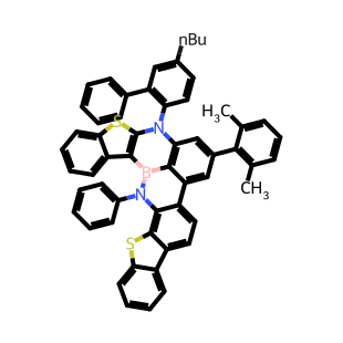 CCCCc1ccc(N2c3cc(-c4c(C)cccc4C)cc4c3B(c3c2sc2ccccc32)N(c2ccccc2)c2c-4ccc3c2sc2ccccc23)c(-c2ccccc2)c1